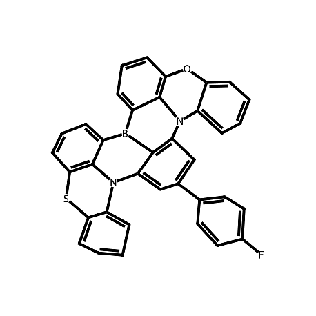 Fc1ccc(-c2cc3c4c(c2)N2c5ccccc5Sc5cccc(c52)B4c2cccc4c2N3c2ccccc2O4)cc1